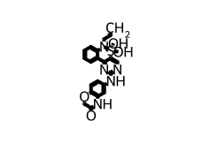 C=CCN1c2ccccc2-c2nc(Nc3ccc4c(c3)NC(=O)CO4)ncc2S1(O)O